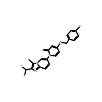 Cc1c(C(F)F)nc2ccc(-n3ccc(OCc4ccc(F)cc4)cc3=O)cn12